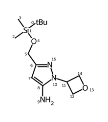 CC(C)(C)[Si](C)(C)OCc1cc(N)n(C2COC2)n1